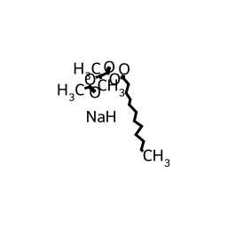 CCCCCCCCCCCC(=O)OC(=O)C(C)(C)OC(C)=O.[NaH]